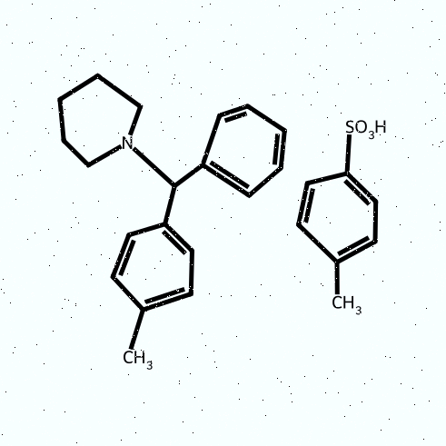 Cc1ccc(C(c2ccccc2)N2CCCCC2)cc1.Cc1ccc(S(=O)(=O)O)cc1